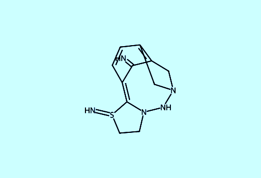 N=C1C2=C3C=C/C1=C1/N(CCS1=N)NN(C3)C2